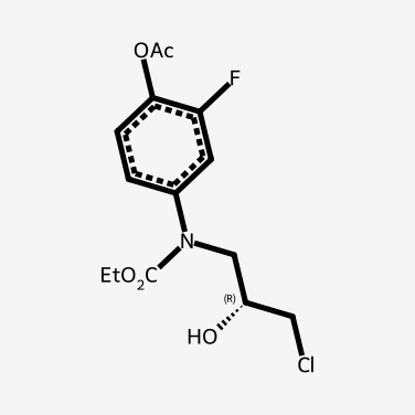 CCOC(=O)N(C[C@@H](O)CCl)c1ccc(OC(C)=O)c(F)c1